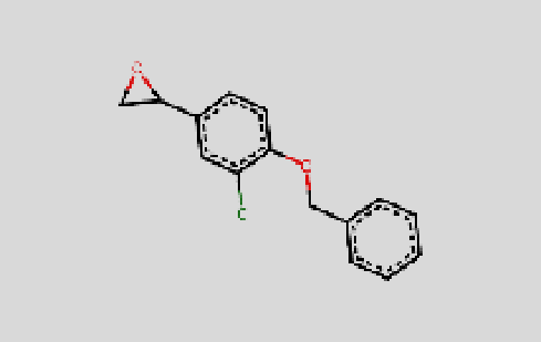 Clc1cc(C2CO2)ccc1OCc1ccccc1